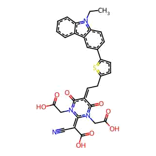 CCn1c2ccccc2c2cc(-c3ccc(CC=c4c(=O)n(CC(=O)O)c(=C(C#N)C(=O)O)n(CC(=O)O)c4=O)s3)ccc21